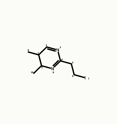 CC1C=NC(CCI)=NC1C